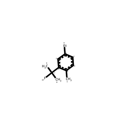 CCc1ccc(C)c(C(C)(C)F)c1